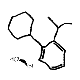 CC(C)c1ccccc1C1CCCCC1.OO